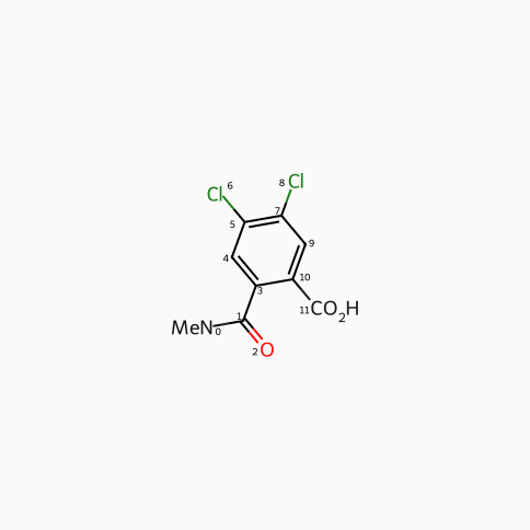 CNC(=O)c1cc(Cl)c(Cl)cc1C(=O)O